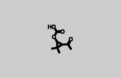 CC(=O)C1C(OC(=O)O)C1(C)C